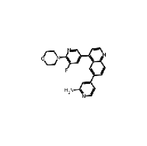 Nc1cc(-c2ccc3nccc(-c4cnc(N5CCOCC5)c(F)c4)c3c2)ccn1